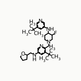 CC(C)(C)c1cncc(NC2CCN(Cc3ncc(NCC4CCCO4)cc3C(C)(C)C)CC2F)c1